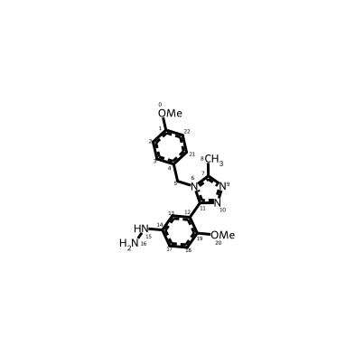 COc1ccc(Cn2c(C)nnc2-c2cc(NN)ccc2OC)cc1